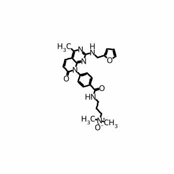 Cc1nc(NCc2ccco2)nc2c1ccc(=O)n2-c1ccc(C(=O)NCCC[N+](C)(C)[O-])cc1